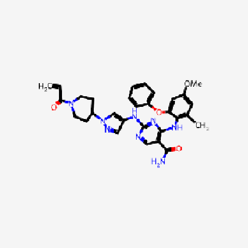 C=CC(=O)N1CCC(n2cc(Nc3ncc(C(N)=O)c(Nc4c(C)cc(OC)cc4Oc4ccccc4)n3)cn2)CC1